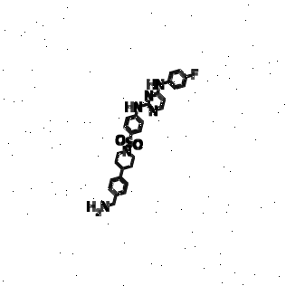 NCc1ccc(C2CCN(S(=O)(=O)c3ccc(Nc4nccc(Nc5ccc(F)cc5)n4)cc3)CC2)cc1